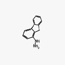 NNc1cccc2c1Cc1ccccc1-2